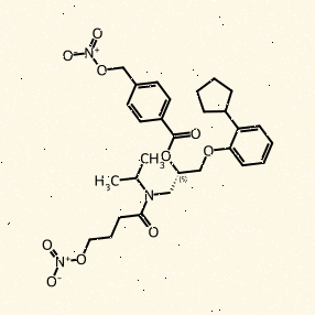 CC(C)N(C[C@@H](COc1ccccc1C1CCCC1)OC(=O)c1ccc(CO[N+](=O)[O-])cc1)C(=O)CCCO[N+](=O)[O-]